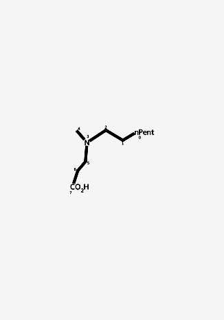 CCCCCCCN(C)CCC(=O)O